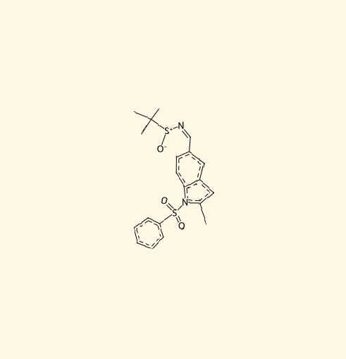 Cc1cc2cc(/C=N\[S+]([O-])C(C)(C)C)ccc2n1S(=O)(=O)c1ccccc1